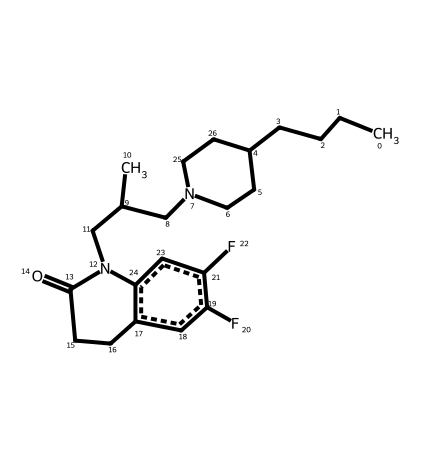 CCCCC1CCN(CC(C)CN2C(=O)CCc3cc(F)c(F)cc32)CC1